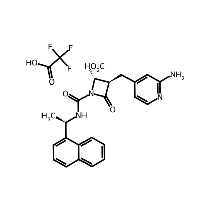 C[C@@H](NC(=O)N1C(=O)[C@H](Cc2ccnc(N)c2)[C@H]1C(=O)O)c1cccc2ccccc12.O=C(O)C(F)(F)F